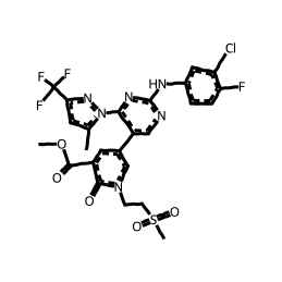 COC(=O)c1cc(-c2cnc(Nc3ccc(F)c(Cl)c3)nc2-n2nc(C(F)(F)F)cc2C)cn(CCS(C)(=O)=O)c1=O